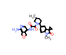 CC1CCC(c2ccc3c(c2)C2(CC2)C(=O)N3C)N(C(=O)C(=O)Nc2cnc(N)c3c2COC3)C1